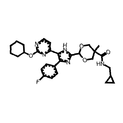 CC1(C(=O)NCC2CC2)COC(c2nc(-c3ccc(F)cc3)c(-c3ccnc(OC4CCCCC4)n3)[nH]2)OC1